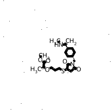 C=C(NC)[C@H]1CC[C@H](CN2C(=O)CC(SCCCO[C@@H](C)C(=O)OC)C2=O)CC1